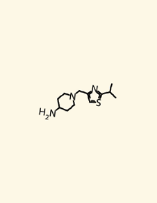 CC(C)c1nc(CN2CCC(N)CC2)cs1